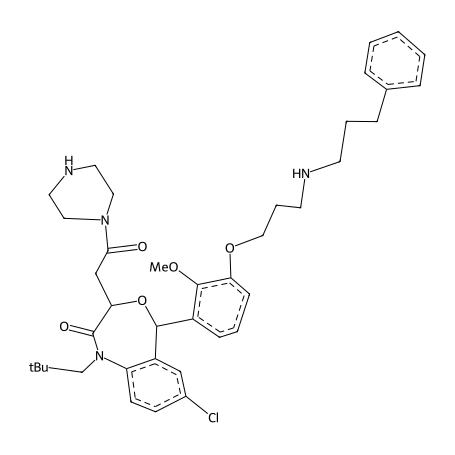 COc1c(OCCCNCCCc2ccccc2)cccc1C1OC(CC(=O)N2CCNCC2)C(=O)N(CC(C)(C)C)c2ccc(Cl)cc21